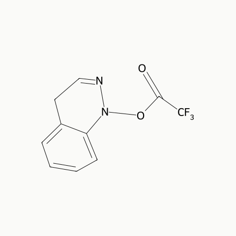 O=C(ON1N=CCc2ccccc21)C(F)(F)F